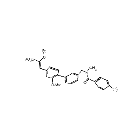 CCOC(=Cc1ccc(-c2cccc(CN(C)C(=O)c3ccc(C(F)(F)F)cc3)c2)c(OC)c1)C(=O)O